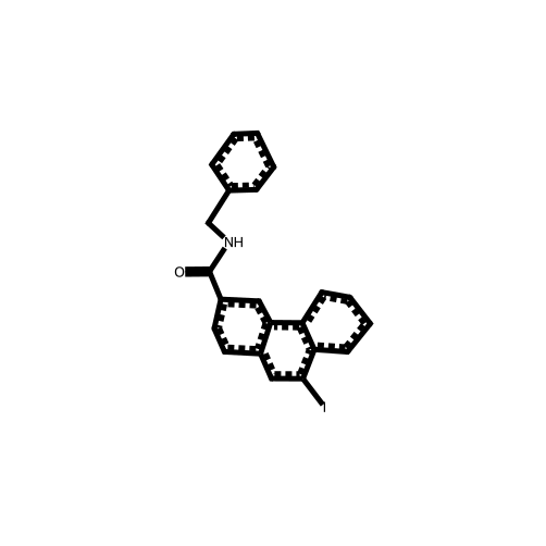 O=C(NCc1ccccc1)c1ccc2cc(I)c3ccccc3c2c1